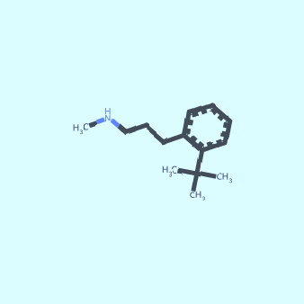 CNCCCc1ccccc1C(C)(C)C